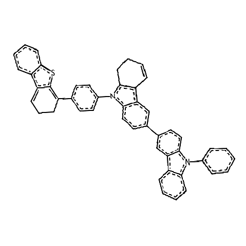 C1=Cc2c(n(-c3ccc(C4=c5sc6ccccc6c5=CCC4)cc3)c3ccc(-c4ccc5c(c4)c4ccccc4n5-c4ccccc4)cc23)CC1